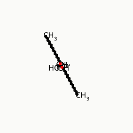 CCCCCCCCCCCCCCCCC[CH2][Pb][CH2]CCCCCCCCCCCCCCCCC.OP(O)O